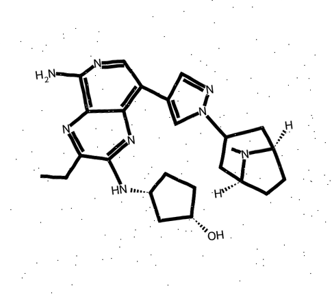 CCc1nc2c(N)ncc(-c3cnn(C4C[C@H]5CC[C@@H](C4)N5C)c3)c2nc1N[C@@H]1CC[C@H](O)C1